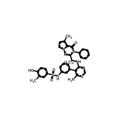 Cc1cc(S(=O)(=O)Nc2cccc(-c3c(N)ncnc3N[C@@H](C)c3nn4ccc(C)c4c(=O)n3-c3ccccc3)c2)ccc1O